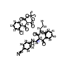 CC1(C)OC(=O)C(C(=O)c2ccccc2Cl)C(=O)O1.CCCNC(=O)/C(=C\Nc1ccc(C#N)cc1)C(=O)c1ccccc1